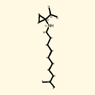 CC(C)CCCCCCCCNC1(C(C)C)CC1